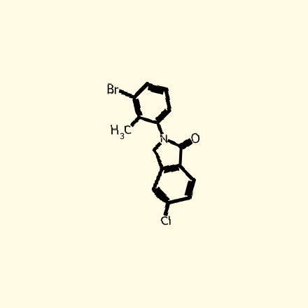 Cc1c(Br)cccc1N1Cc2cc(Cl)ccc2C1=O